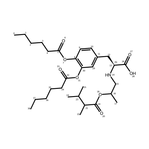 CCCCCC(=O)Oc1ccc(C[C@H](NCC(C)OC(=O)C(C)C(C)C)C(=O)O)cc1OC(=O)CCCCC